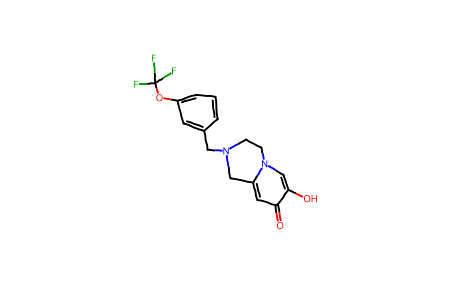 O=c1cc2n(cc1O)CCN(Cc1cccc(OC(F)(F)F)c1)C2